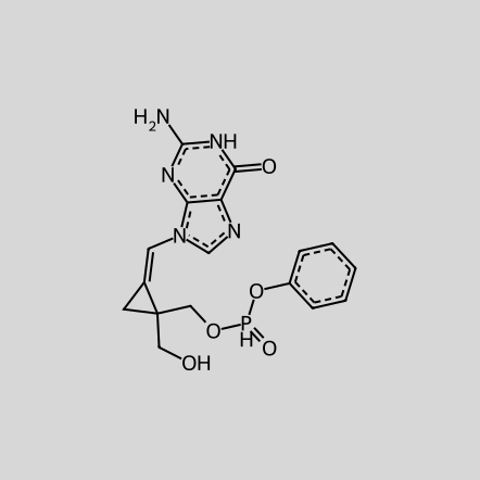 Nc1nc2c(ncn2/C=C2/CC2(CO)CO[PH](=O)Oc2ccccc2)c(=O)[nH]1